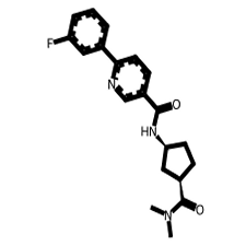 CN(C)C(=O)[C@@H]1CC[C@H](NC(=O)c2ccc(-c3cccc(F)c3)nc2)C1